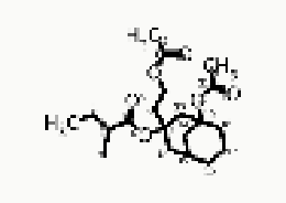 CCC(I)C(=O)OC1(CCOC(C)=O)CC2CCCC(OC(C)=O)(C2)C1